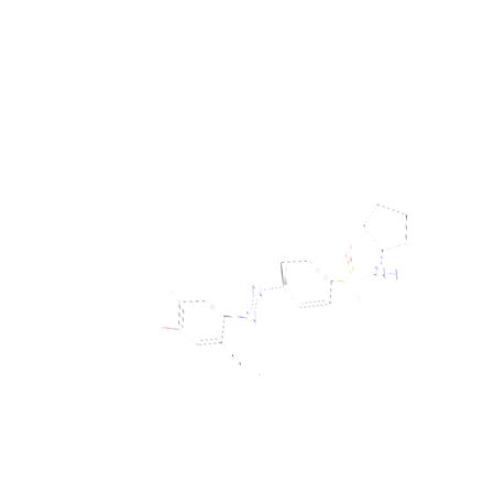 Cc1cc(N=Nc2ccc(S(=O)(=O)NC3CCCC3)cc2)c(N)cc1O